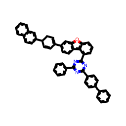 C1=CC(c2ccc3ccccc3c2)CC=C1c1ccc2c(c1)oc1cccc(-c3nc(-c4ccccc4)nc(-c4ccc(-c5ccccc5)cc4)n3)c12